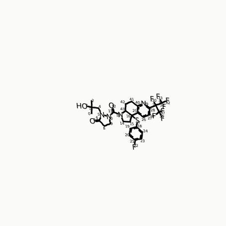 CC(C)(O)CN1C(=O)CCN1C(=O)N1CCC2(Sc3ccc(F)cc3)c3ccc(C(F)(C(F)(F)F)C(F)(F)F)nc3CCC12